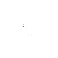 CCCC1COC(c2ccc(-c3cc(F)c(C(F)(F)Oc4cc(F)c(F)c(F)c4)c(F)c3)c(F)c2F)OC1